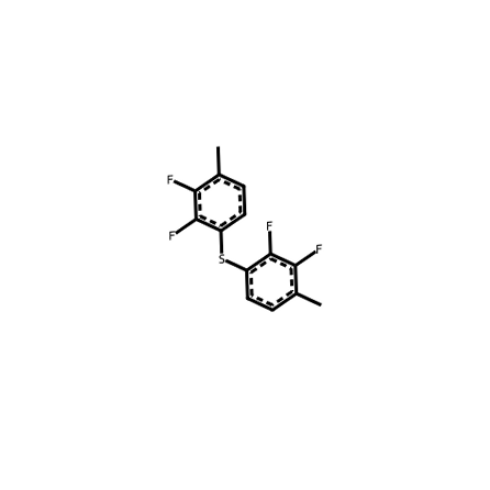 Cc1ccc(Sc2ccc(C)c(F)c2F)c(F)c1F